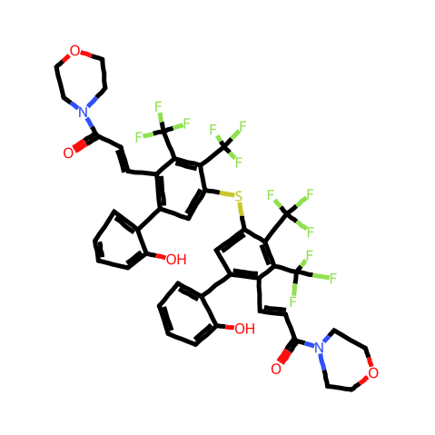 O=C(/C=C/c1c(-c2ccccc2O)cc(Sc2cc(-c3ccccc3O)c(/C=C/C(=O)N3CCOCC3)c(C(F)(F)F)c2C(F)(F)F)c(C(F)(F)F)c1C(F)(F)F)N1CCOCC1